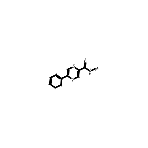 CCCNC(=O)C1=COC(C2=CC=CCC2)=CO1